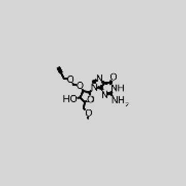 C#CCOCOC1C(O)C(COC)OC1n1cnc2c(=O)[nH]c(N)nc21